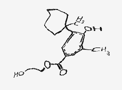 Cc1cc(C(=O)OCCO)cc(C2(C)CCCCC2)c1O